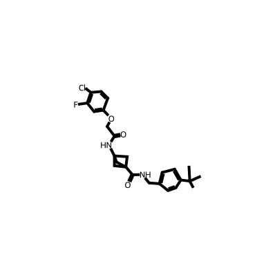 CC(C)(C)c1ccc(CNC(=O)C23CC(NC(=O)COc4ccc(Cl)c(F)c4)(C2)C3)cc1